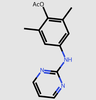 CC(=O)Oc1c(C)cc(Nc2ncccn2)cc1C